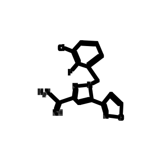 N=C(N)c1cc(-c2ccon2)n(Cc2cccc(Cl)c2F)n1